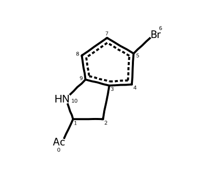 CC(=O)C1Cc2cc(Br)ccc2N1